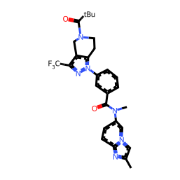 Cc1cn2cc(N(C)C(=O)c3cccc(-n4nc(C(F)(F)F)c5c4CCN(C(=O)C(C)(C)C)C5)c3)ccc2n1